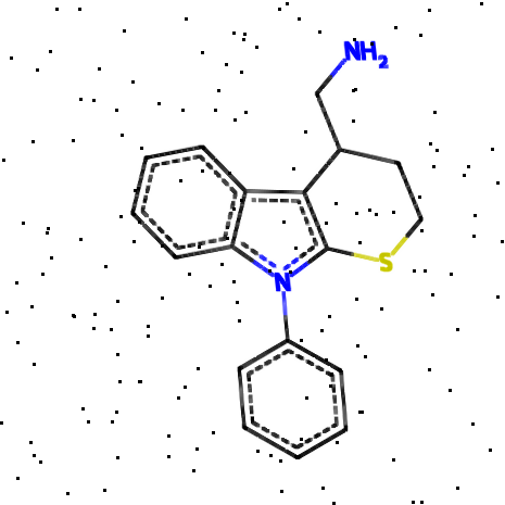 NCC1CCSc2c1c1ccccc1n2-c1ccccc1